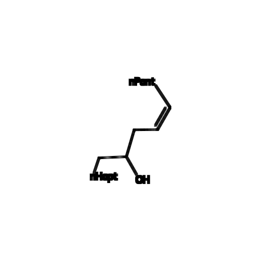 CCCCC/C=C\CC(O)CCCCCCCC